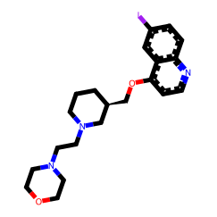 Ic1ccc2nccc(OC[C@@H]3CCCN(CCN4CCOCC4)C3)c2c1